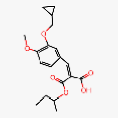 CCC(C)OC(=O)C(=Cc1ccc(OC)c(OCC2CC2)c1)C(=O)O